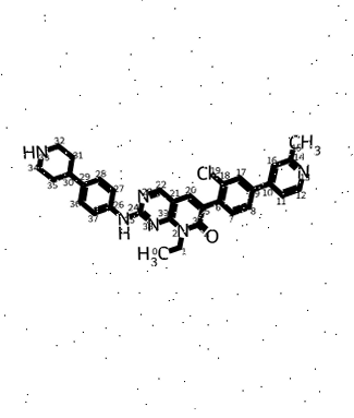 CCn1c(=O)c(-c2ccc(-c3ccnc(C)c3)cc2Cl)cc2cnc(Nc3ccc(C4CCNCC4)cc3)nc21